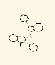 C=C(C)c1c(-c2cccc(F)c2)nn(C(C)c2nc3ccccc3c(=O)n2-c2ccccc2)c1/N=C\C